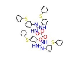 O=C(ONC(=Nc1cccc(Sc2ccccc2)c1)Nc1cccc(Sc2ccccc2)c1)C(=O)ONC(=Nc1cccc(Sc2ccccc2)c1)Nc1cccc(Sc2ccccc2)c1